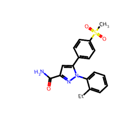 CCc1ccccc1-n1nc(C(N)=O)cc1-c1ccc(S(C)(=O)=O)cc1